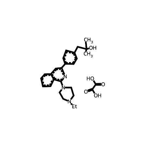 CCN1CCN(c2nc(-c3ccc(CC(C)(C)O)cc3)cc3ccccc23)CC1.O=C(O)C(=O)O